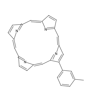 Cc1cccc(C2=CC3=CC4=NC(=CC5=NC(=CC6=NC(=CC2=N3)C=C6)C=C5)C=C4)c1